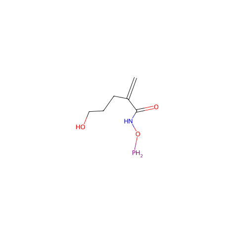 C=C(CCCO)C(=O)NOP